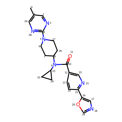 Cc1cnc(N2CCC(N(C(=O)c3ccc(-c4cnco4)nc3)C3CC3)CC2)nc1